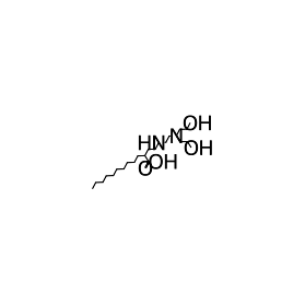 CCCCCCCCCCC(CCNCCN(CCO)CCO)C(=O)O